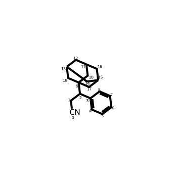 N#CCC(c1ccccc1)C12CC3CC(CC(C3)C1)C2